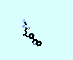 CC(CCC(=O)NCC#N)Cc1cccc(-c2cnc3ccccc3c2)c1